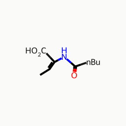 CC=C(NC(=O)CCCC)C(=O)O